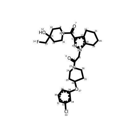 O=C(Cn1nc(C(=O)N2CCC(O)(CF)CC2)c2c1CCCC2)N1CCC(Oc2cccc(Cl)c2)CC1